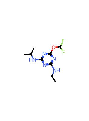 CCNc1nc(NC(C)C)nc(OC(F)F)n1